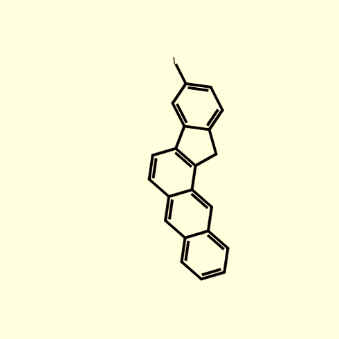 Ic1ccc2c(c1)-c1ccc3cc4ccccc4cc3c1C2